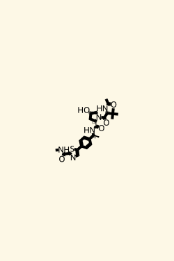 CNC(=O)c1ncc(-c2ccc([C@H](C)NC(=O)[C@@H]3C[C@@H](O)CN3C(=O)[C@@H](NC(C)=O)C(C)(C)C)cc2)s1